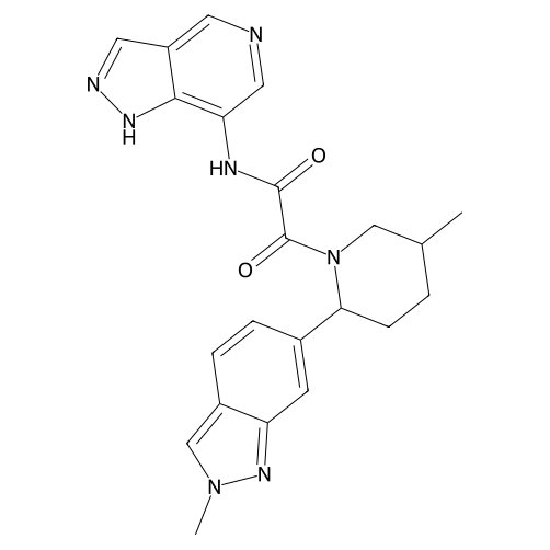 CC1CCC(c2ccc3cn(C)nc3c2)N(C(=O)C(=O)Nc2cncc3cn[nH]c23)C1